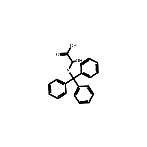 O=C(O)C(O)SC(c1ccccc1)(c1ccccc1)c1ccccc1